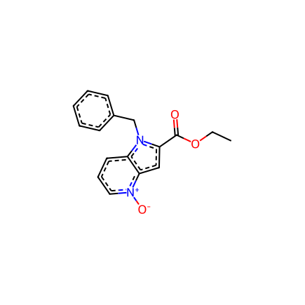 CCOC(=O)c1cc2c(ccc[n+]2[O-])n1Cc1ccccc1